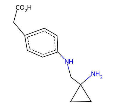 NC1(CNc2ccc(CC(=O)O)cc2)CC1